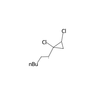 CCCCC[CH]C1(Cl)CC1Cl